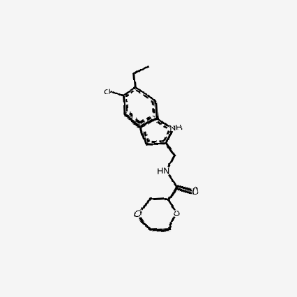 CCc1cc2[nH]c(CNC(=O)C3COCCO3)cc2cc1Cl